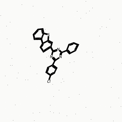 Clc1ccc(-c2nc(-c3ccccc3)nc(-c3ccc4c(c3)sc3ccccc34)n2)cc1